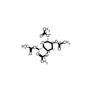 CC(=O)OC[C@@H]1O[C@H](OC(C)=O)[C@@H](OC(C)=O)C[C@H]1OC(C)=O